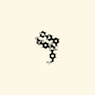 NCC1CCC(C(=O)N[C@@H](Cc2cccc(-c3cnc(N4CCOCC4)nc3)c2)C(=O)Nc2ccc(-c3nnc(Cl)[nH]3)cc2)CC1